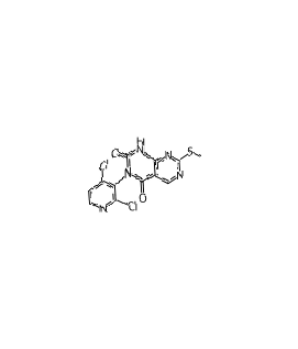 CSc1ncc2c(=O)n(-c3c(Cl)ccnc3Cl)c(=O)[nH]c2n1